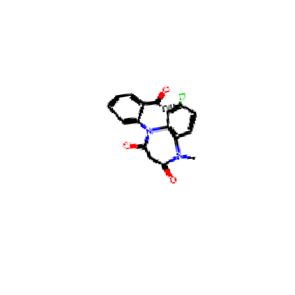 COC(=O)c1ccccc1N1C(=O)CC(=O)N(C)c2ccc(Cl)cc21